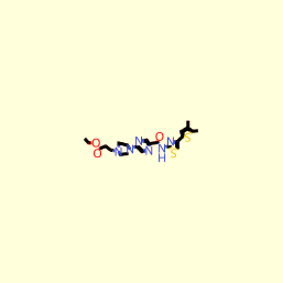 CCOC(=O)CCN1CCN(c2cnc(C(=O)Nc3nc(-c4cc(C)c(C)s4)cs3)cn2)CC1